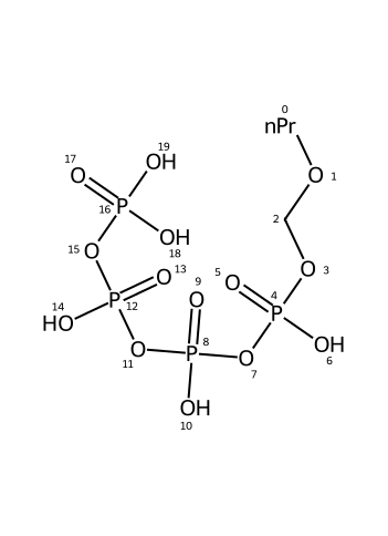 CCCOCOP(=O)(O)OP(=O)(O)OP(=O)(O)OP(=O)(O)O